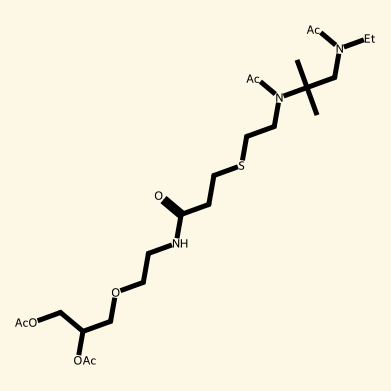 CCN(CC(C)(C)N(CCSCCC(=O)NCCOCC(COC(C)=O)OC(C)=O)C(C)=O)C(C)=O